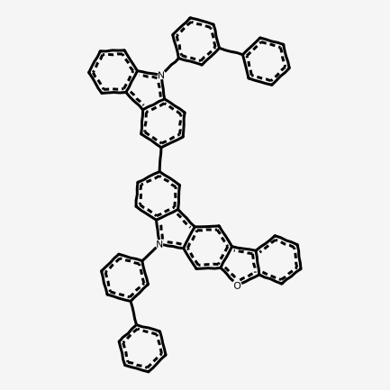 c1ccc(-c2cccc(-n3c4ccccc4c4cc(-c5ccc6c(c5)c5cc7c(cc5n6-c5cccc(-c6ccccc6)c5)oc5ccccc57)ccc43)c2)cc1